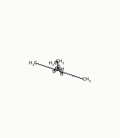 CCCCCCCCC=CCCCCCCCC(=O)OCC(COC(=O)CCCCCCCCCCCCCCC)NC(=O)OCCN(C)C